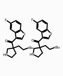 CC(C)(C)CCC1(C(=O)c2csc3ccc(F)cc23)CCNC1.CC(C)(C)CCC1(C(=O)c2csc3ccc(F)cc23)CCNC1